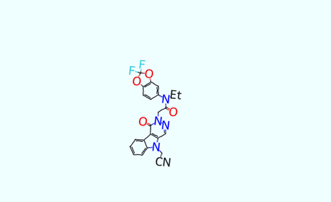 CCN(C(=O)Cn1ncc2c(c1=O)c1ccccc1n2CC#N)c1ccc2c(c1)OC(F)(F)O2